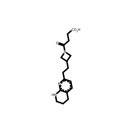 O=C(O)CCC(=O)N1CC(CCc2ccc3c(n2)NCCC3)C1